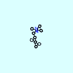 c1ccc(-c2nc(-c3ccccc3)c(-c3cccc(-c4ccc5c(c4)C4(CCCCC4)c4cc6c(cc4-5)C4(CCCCC4)c4ccccc4-6)c3)nc2-c2ccccc2)cc1